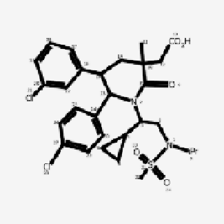 CC(C)N(CC(C1CC1)N1C(=O)C(C)(CC(=O)O)CC(c2cccc(Cl)c2)C1c1ccc(Cl)cc1)S(C)(=O)=O